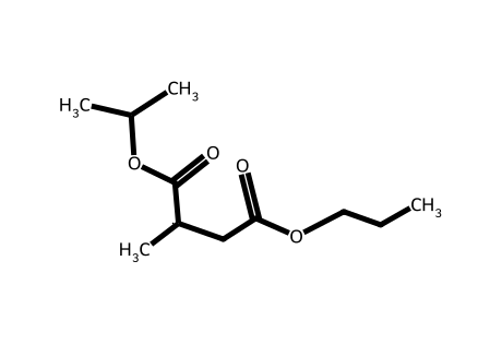 CCCOC(=O)C[C](C)C(=O)OC(C)C